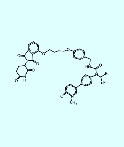 CCCC(CC)N(C(=O)NCc1ccc(OCCCCOc2cccc3c2C(=O)N(C2CCC(=O)NC2=O)C3=O)cc1)c1ccc(-c2ccc(=O)n(C)c2)cc1